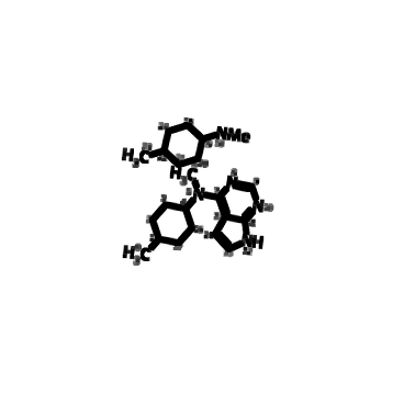 CC1CCC(N(C)c2ncnc3[nH]ccc23)CC1.CNC1CCC(C)CC1